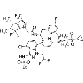 CCS(=O)(=O)Nc1nn(CC(F)F)c2c(-c3ccc(C#CC(C)(C)S(=O)(=O)C4CC4)nc3[C@H](Cc3cc(F)cc(F)c3)NC(=O)Cn3nc(C(F)(F)F)c4c3C(F)(F)[C@H](C)[C@@H]4C)ccc(Cl)c12